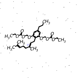 CCCc1cc(OCOC(=O)OCC)c(C/C=C(\C)CCC=C(C)C)c(OCOC(=O)OCC)c1